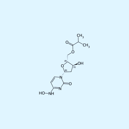 CC(C)C(=O)OC[C@H]1O[C@@H](n2ccc(NO)nc2=O)C[C@@H]1O